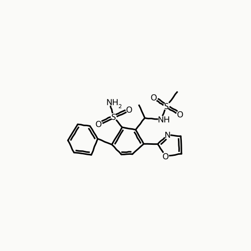 CC(NS(C)(=O)=O)c1c(-c2ncco2)ccc(-c2ccccc2)c1S(N)(=O)=O